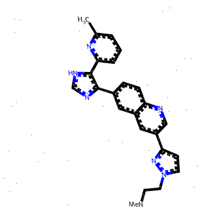 CNCCn1ccc(-c2cnc3ccc(-c4nc[nH]c4-c4cccc(C)n4)cc3c2)n1